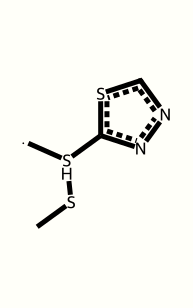 [CH2][SH](SC)c1nncs1